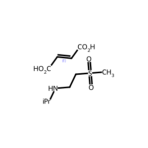 CC(C)NCCS(C)(=O)=O.O=C(O)/C=C/C(=O)O